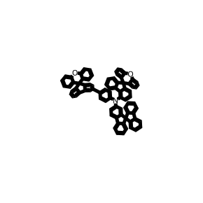 c1ccc2c(c1)Oc1ccccc1C21c2ccccc2-c2cc(-c3ccc(N(c4ccc5c(c4)C4(c6ccccc6-c6ccccc64)c4ccccc4-5)c4cccc5c4-c4ccccc4C54c5ccccc5Oc5ccccc54)cc3)ccc21